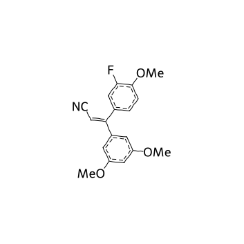 COc1cc(OC)cc(/C(=C/C#N)c2ccc(OC)c(F)c2)c1